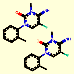 Cc1ccccc1-n1cc(F)c(=N)n(C)c1=O.Cc1ccccc1-n1cc(F)c(=N)n(C)c1=O